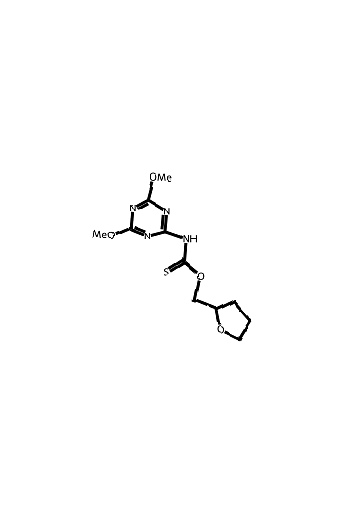 COc1nc(NC(=S)OCC2CCCO2)nc(OC)n1